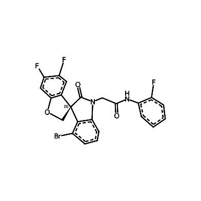 O=C(CN1C(=O)[C@]2(COc3cc(F)c(F)cc32)c2c(Br)cccc21)Nc1ccccc1F